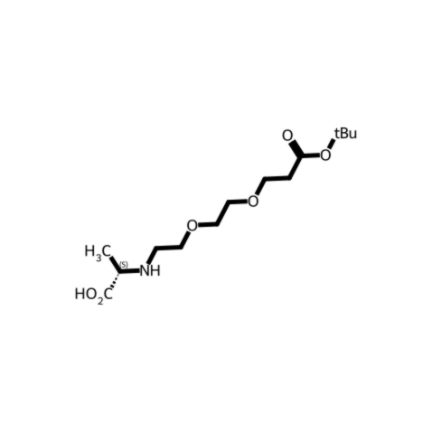 C[C@H](NCCOCCOCCC(=O)OC(C)(C)C)C(=O)O